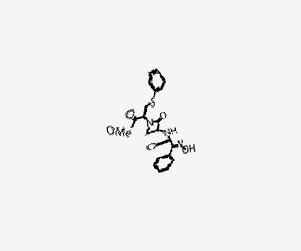 COC(=O)C(=CSc1ccccc1)N1CC(NC(=O)C(=NO)c2ccccc2)C1=O